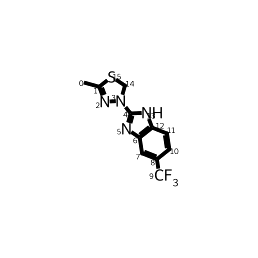 CC1=NN(c2nc3cc(C(F)(F)F)ccc3[nH]2)CS1